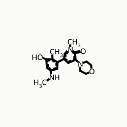 CNc1cc(O)c(C)c(-c2cc(N3CCOCC3)c(=O)n(C)c2)c1